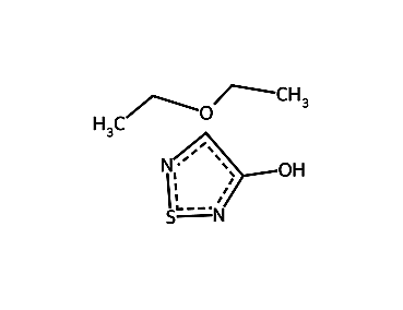 CCOCC.Oc1cnsn1